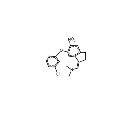 CN(C)/C=C1/CCc2cc([N+](=O)[O-])c(Oc3cccc(Cl)c3)cc21